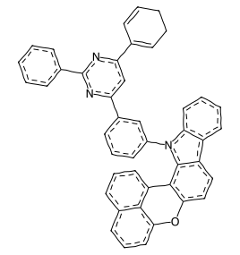 C1=CC(c2cc(-c3cccc(-n4c5ccccc5c5ccc6c(c54)-c4cccc5cccc(c45)O6)c3)nc(-c3ccccc3)n2)=CCC1